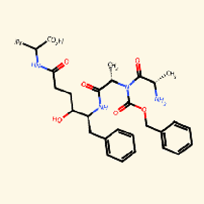 CC(C)C(NC(=O)CCC(O)[C@H](Cc1ccccc1)NC(=O)[C@H](C)N(C(=O)OCc1ccccc1)C(=O)[C@H](C)N)C(=O)O